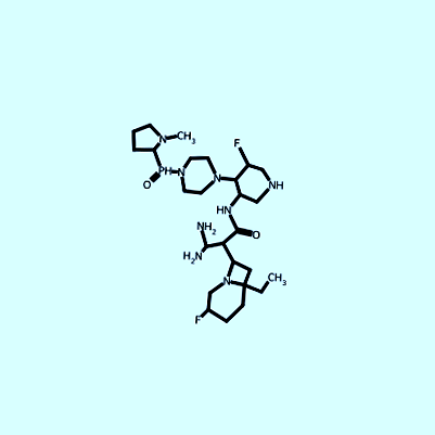 CCC12CCC(F)CN1C(C(C(=O)NC1CNCC(F)C1N1CCN([PH](=O)C3CCCN3C)CC1)C(N)N)C2